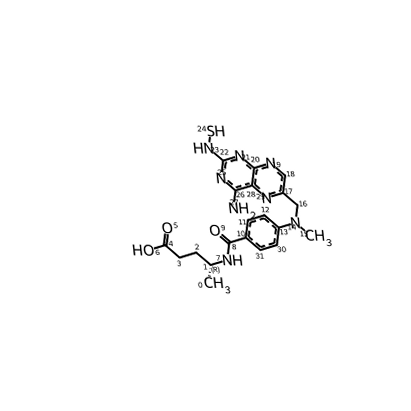 C[C@H](CCC(=O)O)NC(=O)c1ccc(N(C)Cc2cnc3nc(NS)nc(N)c3n2)cc1